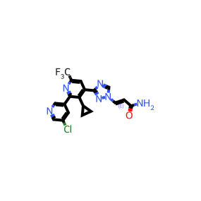 NC(=O)/C=C/n1cnc(-c2cc(C(F)(F)F)nc(-c3cncc(Cl)c3)c2C2CC2)n1